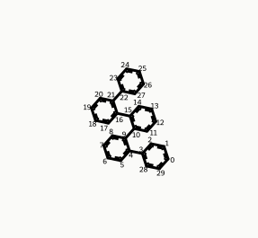 c1ccc(-c2ccccc2-c2ccccc2-c2ccccc2-c2ccccc2)cc1